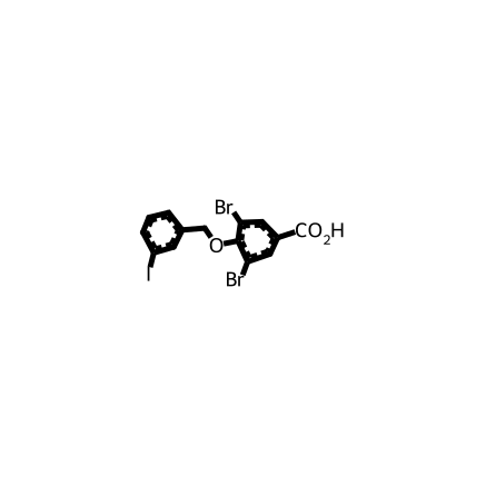 O=C(O)c1cc(Br)c(OCc2cccc(I)c2)c(Br)c1